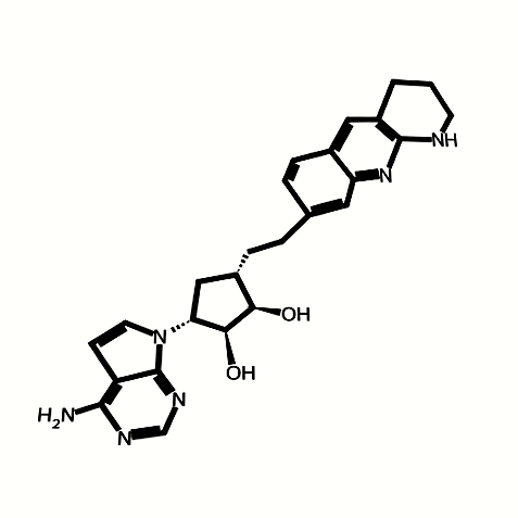 Nc1ncnc2c1ccn2[C@@H]1C[C@H](CCc2ccc3cc4c(nc3c2)NCCC4)[C@@H](O)[C@H]1O